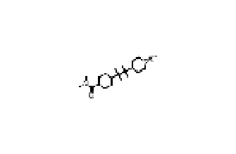 CN(C)C(=O)C1CCC(C(C)(C)C(C)(C)C2CC[S+]([O-])CC2)CC1